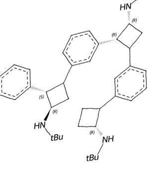 CC(C)(C)N[C@@H]1CCC1c1cccc(C2C[C@@H](NC(C)(C)C)[C@H]2c2cccc(C3C[C@@H](NC(C)(C)C)[C@@H]3c3ccccc3)c2)c1